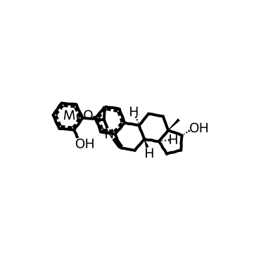 COc1cc2c3cc1C(c1ccccc1O)N=C2C[C@@H]1[C@@H]3CC[C@]2(C)[C@H](O)CC[C@@H]12